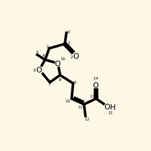 CC(=O)CC1(C)OCC(CC=C(C)C(=O)O)O1